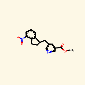 COC(=O)c1cncc(CC2CCc3c2cccc3[N+](=O)[O-])c1